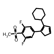 CS(=O)(=O)c1c(F)cc(C2=C(C3CCCCC3)C=CC2)cc1F